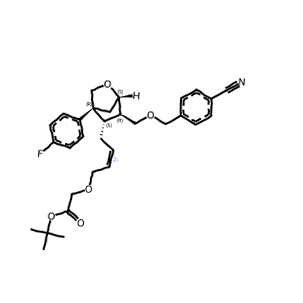 CC(C)(C)OC(=O)COC/C=C\C[C@H]1[C@H](COCc2ccc(C#N)cc2)[C@@H]2C[C@@]1(c1ccc(F)cc1)CO2